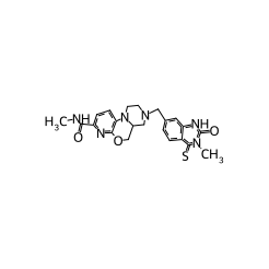 CNC(=O)c1ccc2c(n1)OCC1CN(Cc3ccc4c(=S)n(C)c(=O)[nH]c4c3)CCN21